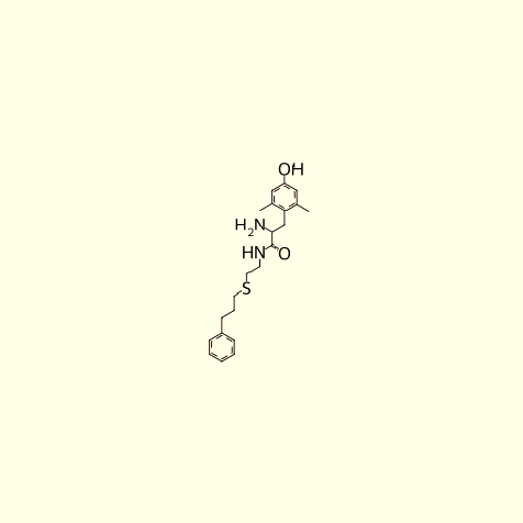 Cc1cc(O)cc(C)c1CC(N)C(=O)NCCSCCCc1ccccc1